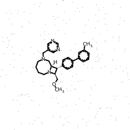 COC[C@@H]1[C@@H](c2ccc(-c3cccc(C)c3)cc2)[C@@H]2CN(Cc3cncnc3)CCCCN12